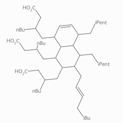 CCCCC(CC(=O)O)CC1C=CC(CC(C)CCC)C2C(CC(C)CCC)C(CC=CCC(C)CC)C(CC(CCCC)CC(=O)O)C(CC(CCCC)CC(=O)O)C12